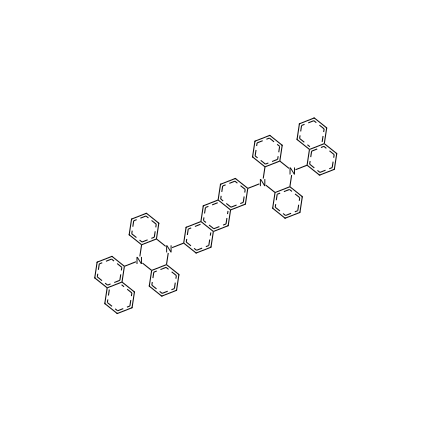 c1ccc2c(c1)N(c1ccc3cc4cc(N5c6ccccc6N(c6cccc7ccccc67)c6ccccc65)ccc4cc3c1)c1ccccc1N2c1cccc2ccccc12